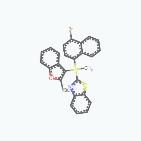 CCCCc1oc2ccccc2c1S(C)(c1nc2ccccc2s1)c1ccc(Br)c2ccccc12